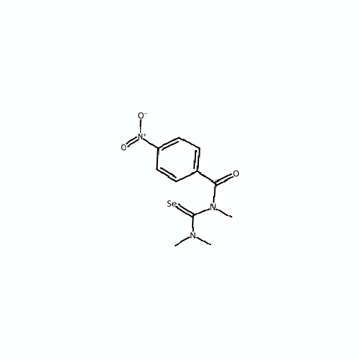 CN(C)C(=[Se])N(C)C(=O)c1ccc([N+](=O)[O-])cc1